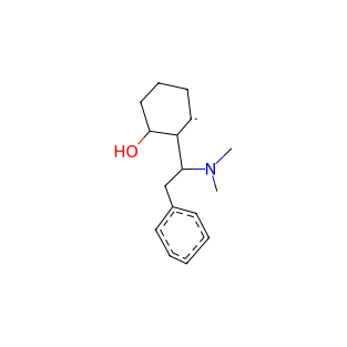 CN(C)C(Cc1ccccc1)C1[CH]CCCC1O